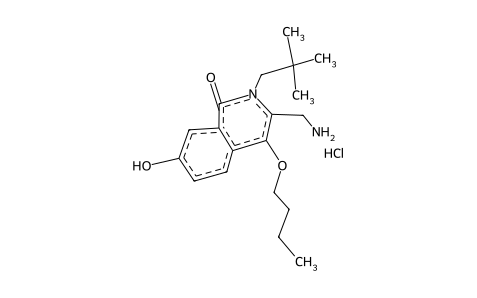 CCCCOc1c(CN)n(CC(C)(C)C)c(=O)c2cc(O)ccc12.Cl